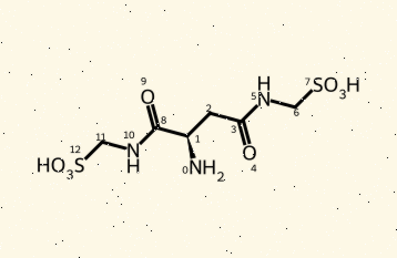 N[C@H](CC(=O)NCS(=O)(=O)O)C(=O)NCS(=O)(=O)O